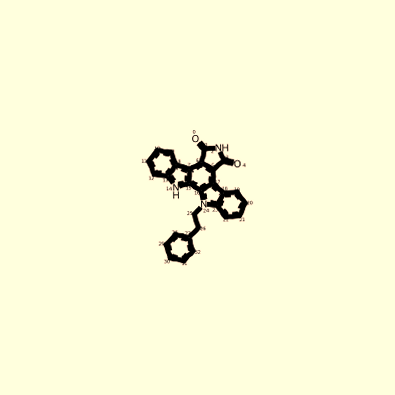 O=C1NC(=O)c2c1c1c3ccccc3[nH]c1c1c2c2ccccc2n1CCc1ccccc1